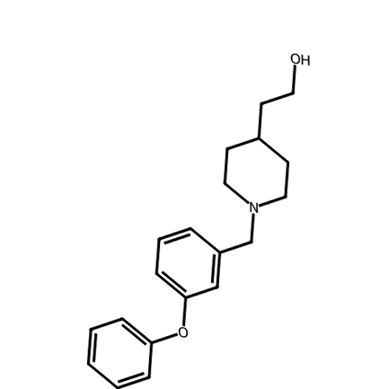 OCCC1CCN(Cc2cccc(Oc3ccccc3)c2)CC1